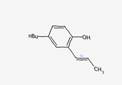 C/C=C/c1cc(CCCC)ccc1O